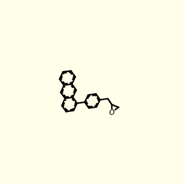 c1ccc2cc3c(-c4ccc(CC5CO5)cc4)cccc3cc2c1